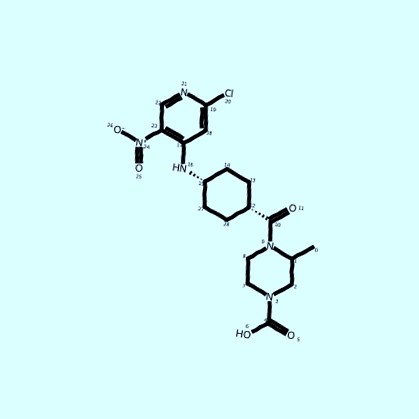 CC1CN(C(=O)O)CCN1C(=O)[C@H]1CC[C@@H](Nc2cc(Cl)ncc2[N+](=O)[O-])CC1